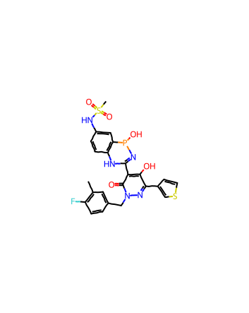 Cc1cc(Cn2nc(-c3ccsc3)c(O)c(C3=NP(O)c4cc(NS(C)(=O)=O)ccc4N3)c2=O)ccc1F